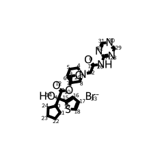 O=C(C[N+]12CCC(CC1)C(OC(=O)[C@@](O)(c1cccs1)C1CCCC1)C2)Nc1ncncn1.[Br-]